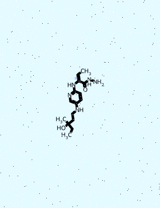 C/C=C(/Nc1ccc(NCCC(C)(O)CC)cn1)C(=O)NN